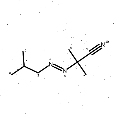 CC(C)C/N=N/C(C)(C)C#N